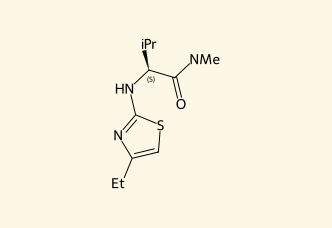 CCc1csc(N[C@H](C(=O)NC)C(C)C)n1